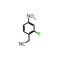 N#CCc1ccc([N+](=O)[O-])cc1F